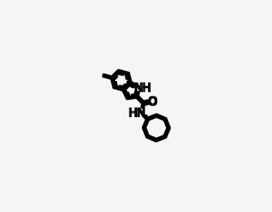 Cc1ccc2[nH]c(C(=O)NC3CCCCCCC3)cc2c1